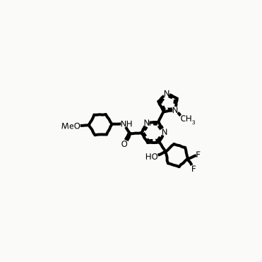 COC1CCC(NC(=O)c2cc(C3(O)CCC(F)(F)CC3)nc(-c3cncn3C)n2)CC1